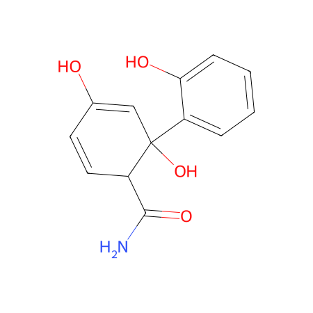 NC(=O)C1C=CC(O)=CC1(O)c1ccccc1O